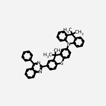 CC1(C)c2cc(-c3nc(-c4ccccc4)c4ccccc4n3)ccc2Sc2ccc(N3c4ccccc4C(C)(C)c4ccccc43)cc21